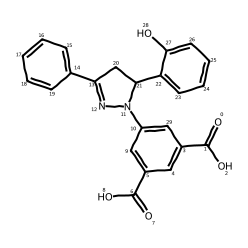 O=C(O)c1cc(C(=O)O)cc(N2N=C(c3ccccc3)CC2c2ccccc2O)c1